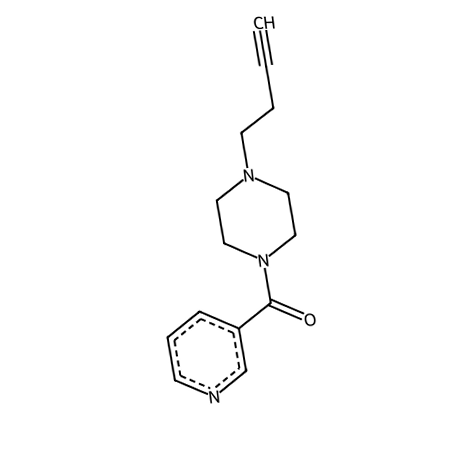 C#CCCN1CCN(C(=O)c2cccnc2)CC1